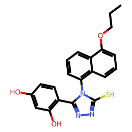 CCCOc1cccc2c(-n3c(S)nnc3-c3ccc(O)cc3O)cccc12